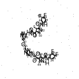 Cc1c(C(=O)C(=O)NCc2cn(CCOCCn3cc(CNC(=O)C(=O)c4c(C)c(C(=O)Nc5ccc(F)c(F)c5)n(C)c4C)nn3)nn2)c(C)n(C)c1C(=O)Nc1ccc(F)c(F)c1